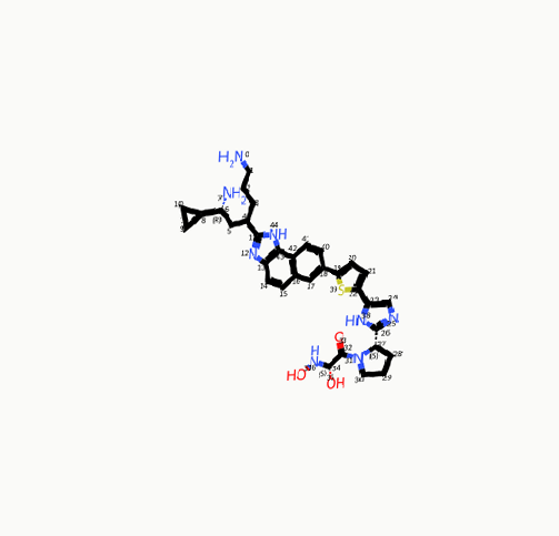 NCCCC(C[C@@H](N)C1CC1)c1nc2ccc3cc(-c4ccc(-c5cnc([C@@H]6CCCN6C(=O)[C@H](O)NO)[nH]5)s4)ccc3c2[nH]1